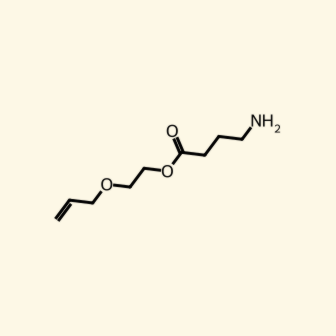 C=CCOCCOC(=O)CCCN